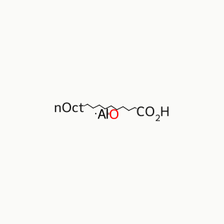 CCCCCCCCCCCCCCCCCC(=O)O.[O]=[Al]